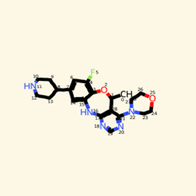 CC1Oc2c(F)cc(C3CCNCC3)cc2Nc2ncnc(N3CCOCC3)c21